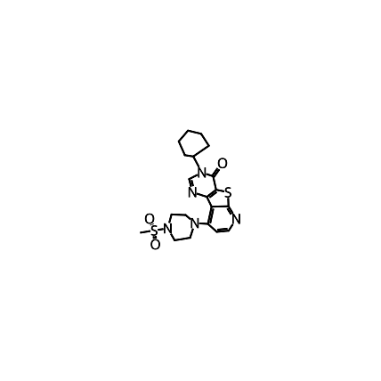 CS(=O)(=O)N1CCN(c2ccnc3sc4c(=O)n(C5CCCCC5)cnc4c23)CC1